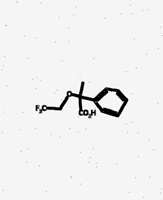 CC(OCC(F)(F)F)(C(=O)O)c1ccccc1